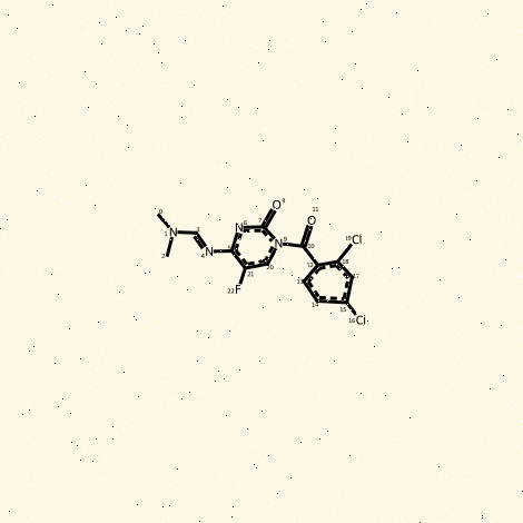 CN(C)/C=N/c1nc(=O)n(C(=O)c2ccc(Cl)cc2Cl)cc1F